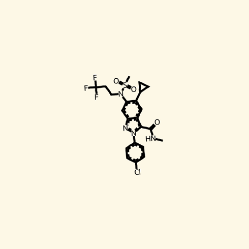 CNC(=O)c1c2cc(C3CC3)c(N(CCC(F)(F)F)S(C)(=O)=O)cc2nn1-c1ccc(Cl)cc1